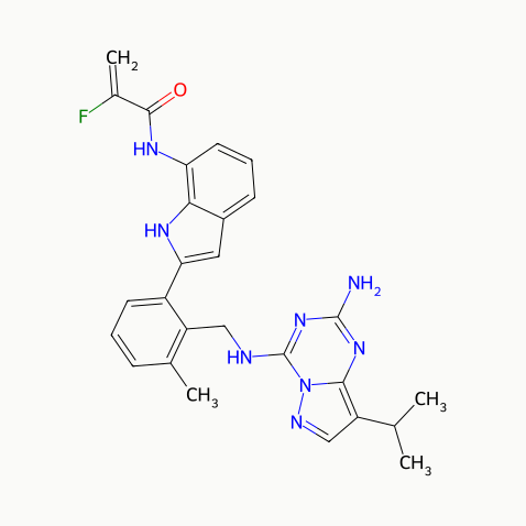 C=C(F)C(=O)Nc1cccc2cc(-c3cccc(C)c3CNc3nc(N)nc4c(C(C)C)cnn34)[nH]c12